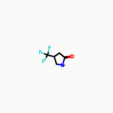 O=C1CC(C(F)(F)F)C[N]1